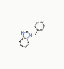 [c]1ccc(Cn2cnc3ccccc32)cc1